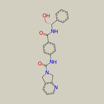 O=C(N[C@H](CO)c1ccccc1)c1ccc(NC(=O)N2Cc3cccnc3C2)cc1